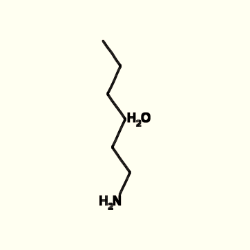 CCCCCCN.O